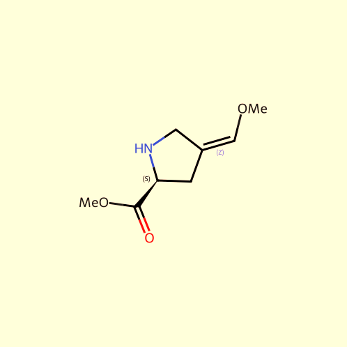 CO/C=C1\CN[C@H](C(=O)OC)C1